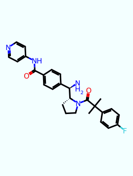 CC(C)(C(=O)N1CCC[C@@H]1[C@H](N)c1ccc(C(=O)Nc2ccncc2)cc1)c1ccc(F)cc1